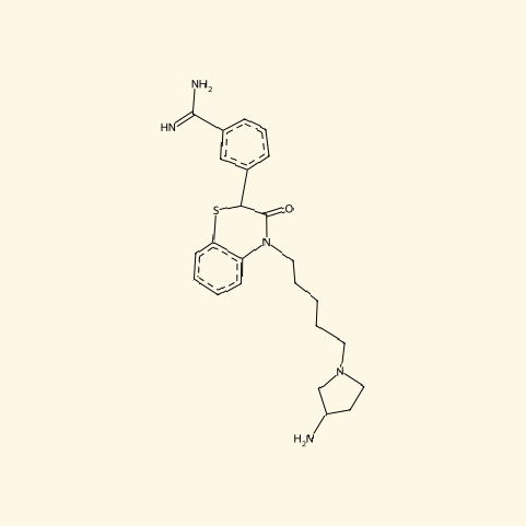 N=C(N)c1cccc(C2Sc3ccccc3N(CCCCCN3CCC(N)C3)C2=O)c1